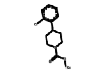 CC(C)(C)OC(=O)N1CCC(c2ccccc2Cl)CC1